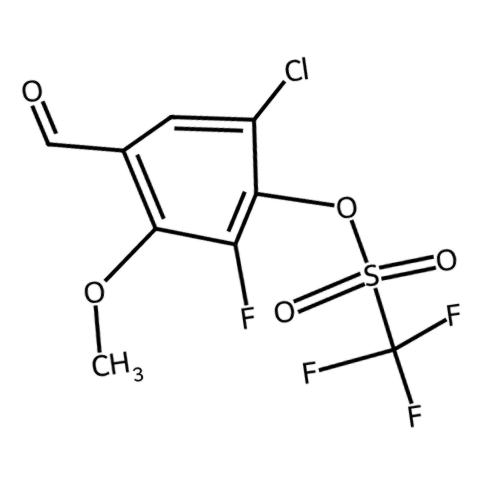 COc1c(C=O)cc(Cl)c(OS(=O)(=O)C(F)(F)F)c1F